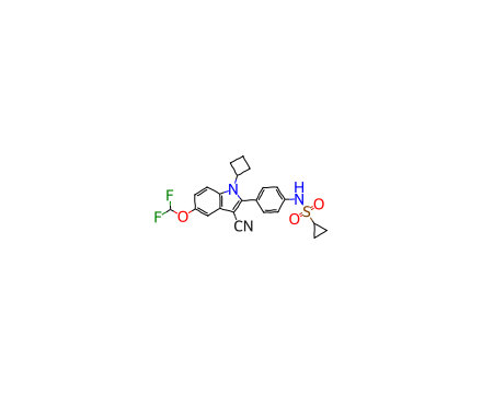 N#Cc1c(-c2ccc(NS(=O)(=O)C3CC3)cc2)n(C2CCC2)c2ccc(OC(F)F)cc12